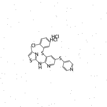 Cc1csc(Nc2ncc(Sc3ccncc3)cc2Sc2ccccc2Cl)n1.Cl.Cl